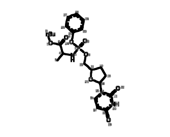 CCCCOC(=O)C(C)NP(=O)(OCC1CCC(n2ccc(=O)[nH]c2=O)O1)Oc1ccccc1